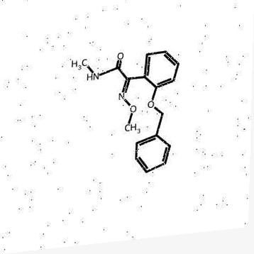 CNC(=O)/C(=N/OC)c1ccccc1OCc1ccccc1